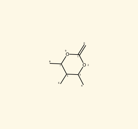 C=C1OC(C)C(C)C(C)O1